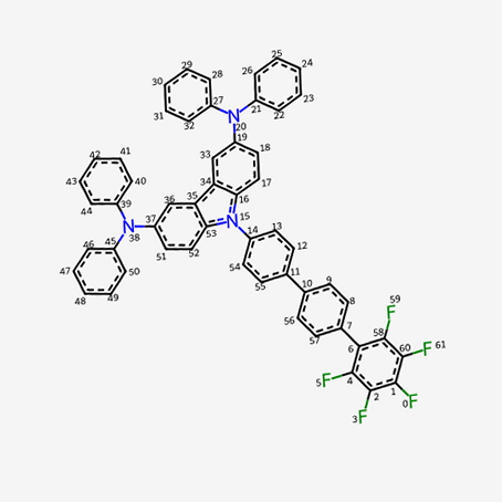 Fc1c(F)c(F)c(-c2ccc(-c3ccc(-n4c5ccc(N(c6ccccc6)c6ccccc6)cc5c5cc(N(c6ccccc6)c6ccccc6)ccc54)cc3)cc2)c(F)c1F